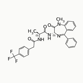 C[C@H](NC(=O)Cc1ccc(C(F)(F)F)cc1)C(=O)N[C@H]1N=C(c2ccccc2)c2ccccc2N(C)C1=O